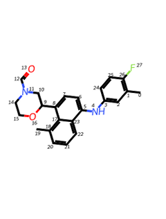 Cc1cc(Nc2ccc(C3CN(C=O)CCO3)c3c(C)cccc23)ccc1F